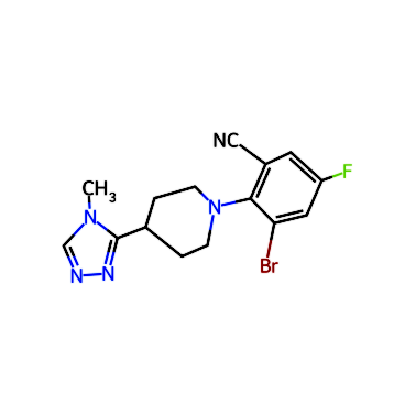 Cn1cnnc1C1CCN(c2c(Br)cc(F)cc2C#N)CC1